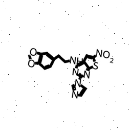 O=[N+]([O-])c1cc2c(NCCc3ccc4c(c3)OCO4)nc(-n3ccnc3)nc2s1